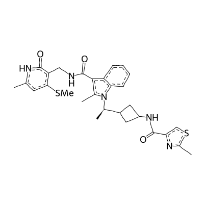 CSc1cc(C)[nH]c(=O)c1CNC(=O)c1c(C)n([C@H](C)C2CC(NC(=O)c3csc(C)n3)C2)c2ccccc12